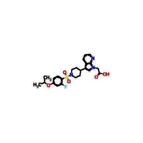 CC(C)Oc1ccc(S(=O)(=O)N2CCC(c3cn(CC(=O)O)c4ncccc34)CC2)c(F)c1